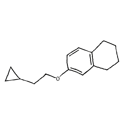 c1cc2c(cc1OCCC1CC1)CCCC2